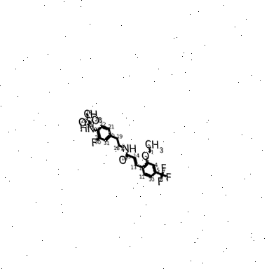 CCOc1cc(C(F)(F)F)ccc1C=CC(=O)NCCc1ccc(NS(C)(=O)=O)c(F)c1